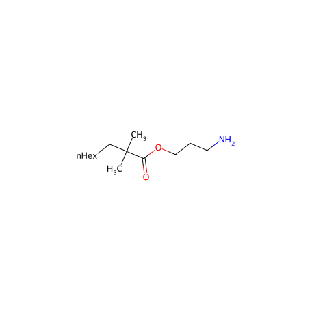 CCCCCCCC(C)(C)C(=O)OCCCN